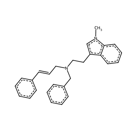 Cn1cc(CCN(C/C=C/c2ccccc2)Cc2ccccc2)c2ccccc21